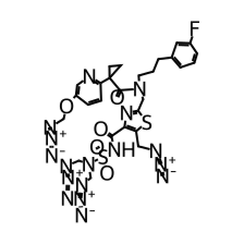 [N-]=[N+]=NCOc1ccc(C2(C(=O)N(CCCc3cccc(F)c3)Cc3nc(C(=O)NS(=O)(=O)N(CN=[N+]=[N-])CN=[N+]=[N-])c(CN=[N+]=[N-])s3)CC2)nc1